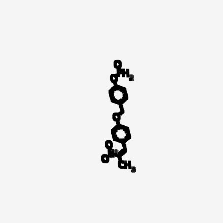 CC(=Cc1ccc(OCc2ccc(O[PH2]=O)cc2)cc1)[N+](=O)[O-]